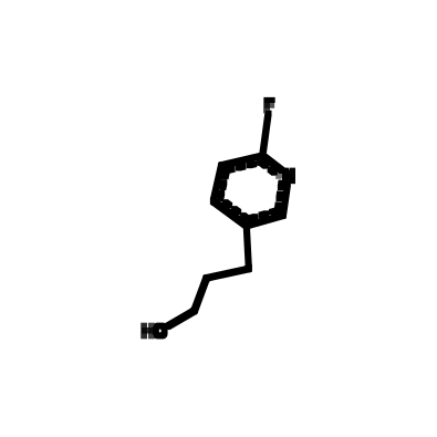 OCCCc1ccc(F)nc1